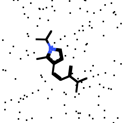 C=C(/C=C\c1ccn(C(C)C)c1C)C(C)C